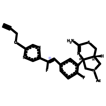 C#CCOc1cnc(/C(F)=C/c2ccc(F)c([C@]34CN(C(C)=O)C[C@H]3CSC(N)=N4)c2)cn1